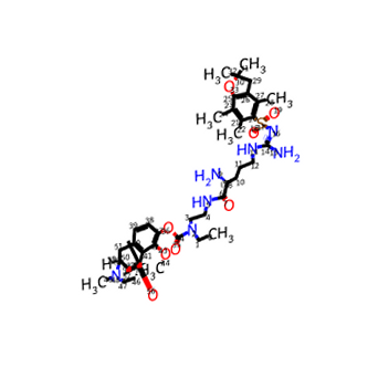 CCN(CCNC(=O)[C@@H](N)CCCN/C(N)=N\S(=O)(=O)c1c(C)c(C)c2c(c1C)CC(C)(C)O2)C(=O)Oc1ccc2c(c1OC)[C@]13CCN(C)[C@H](C2)C1CCC(=O)C3